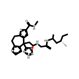 C=C(CN[C@H](C)CC1(c2nn[nH]n2)c2ccsc2CCc2sc(C(=O)NC)cc21)NC(C)C[C@@H](C)CC